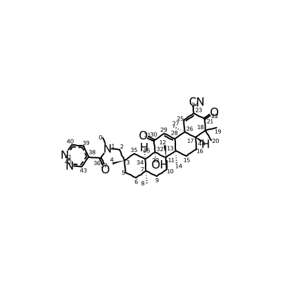 CN(C[C@@]1(C)CC[C@]2(C)CC[C@@]3(C)[C@]4(C)CC[C@H]5C(C)(C)C(=O)C(C#N)=C[C@]5(C)C4=CC(=O)[C@]3(O)[C@@H]2C1)C(=O)c1ccnnc1